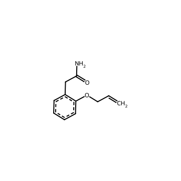 C=CCOc1ccccc1CC(N)=O